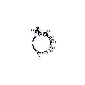 CO[C@]12CC(O)CC(O)[C@H](O)CCC(O)CC(O)CC(=O)O[C@@H](C)C[C@H](O)[C@@H](C)CC/C=C/C=C/CC/C=C/C=C/CCC(OC3C[C@@H](N)[C@H](O)[C@@H](C)O3)C[C@H](O1)[C@H](C(=O)O)[C@@H](O)C2